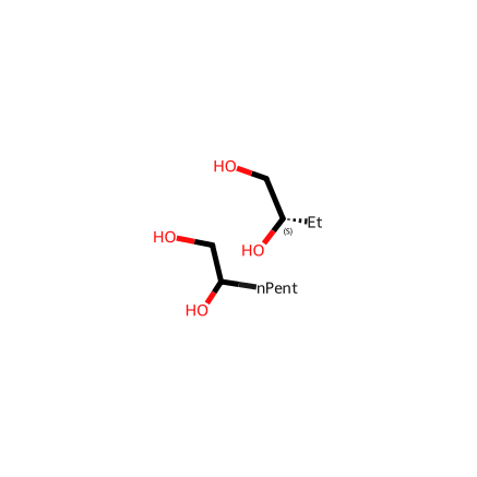 CCCCCC(O)CO.CC[C@H](O)CO